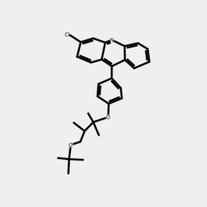 CC(COC(C)(C)C)C(C)(C)Oc1ccc(-c2c3ccccc3nc3cc(Cl)ccc23)cc1